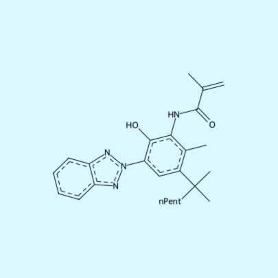 C=C(C)C(=O)Nc1c(C)c(C(C)(C)CCCCC)cc(-n2nc3ccccc3n2)c1O